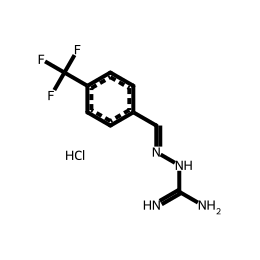 Cl.N=C(N)N/N=C/c1ccc(C(F)(F)F)cc1